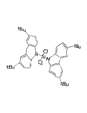 CC(C)(C)c1ccc2c(c1)c1cc(C(C)(C)C)ccc1n2[Si](Cl)(Cl)n1c2ccc(C(C)(C)C)cc2c2cc(C(C)(C)C)ccc21